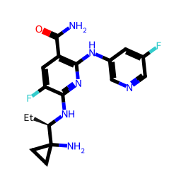 CC[C@@H](Nc1nc(Nc2cncc(F)c2)c(C(N)=O)cc1F)C1(N)CC1